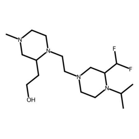 CC(C)N1CCN(CCN2CCN(C)CC2CCO)CC1C(F)F